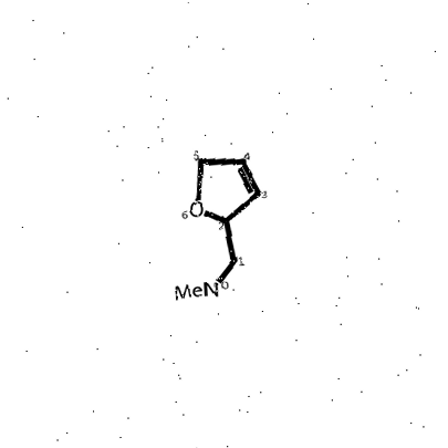 CNCC1C=CCO1